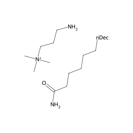 CCCCCCCCCCCCCCCC(N)=O.C[N+](C)(C)CCCN